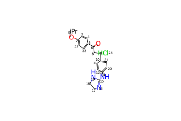 CC(C)Oc1ccc(C(=O)CCc2ccc(NC3=NCCN3)cc2)cc1.Cl